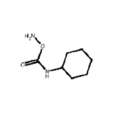 NOC(=O)NC1CCCCC1